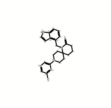 O=C1CCCC2(CCN(c3cncc(Cl)n3)CC2)N1Cc1cccc2[nH]ccc12